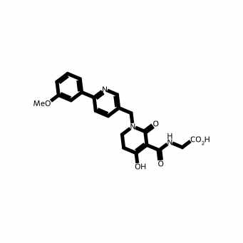 COc1cccc(-c2ccc(CN3CCC(O)=C(C(=O)NCC(=O)O)C3=O)cn2)c1